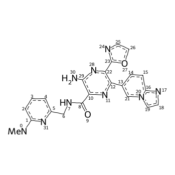 CNc1cccc(CNC(=O)c2nc(-c3ccc4nccn4c3)c(-c3ncco3)nc2N)n1